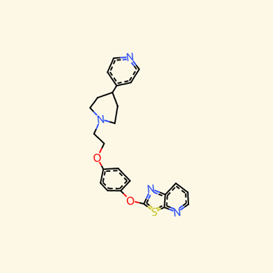 c1cnc2sc(Oc3ccc(OCCN4CCC(c5ccncc5)CC4)cc3)nc2c1